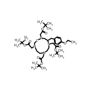 CCOc1ccc(CC2CN(CC(=O)OC(C)(C)C)CCN(CC(=O)OC(C)(C)C)CCN(CC(=O)OC(C)(C)C)CCN2CC(=O)OC(C)(C)C)cc1